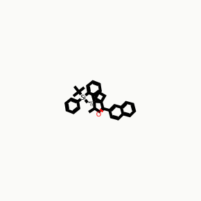 CC(C)[C@@]1(C[Si](c2ccccc2)(c2ccccc2)C(C)(C)C)CC2CC1(C(=O)c1ccc3ccccc3c1)C2